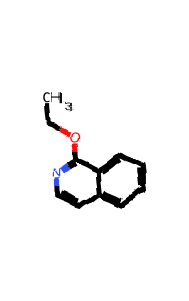 CCOc1nccc2ccccc12